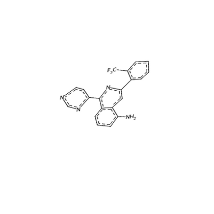 Nc1cccc2c(-c3ccncn3)nc(-c3ccccc3C(F)(F)F)cc12